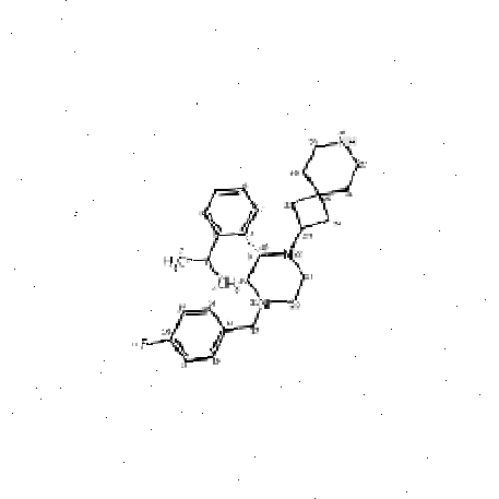 CC(C)c1ccccc1[C@H]1CN(Cc2ccc(F)cc2)CCN1C1CC2(CCNCC2)C1